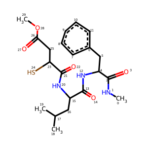 CNC(=O)C(Cc1ccccc1)NC(=O)C(CC(C)C)NC(=O)C(S)CC(=O)OC